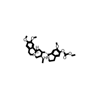 CCOC(=O)Oc1cc2c(cc1OC)[C@@H](CC1C[C@H]3c4cc(OC)c(OC)cc4CCN3C[C@@H]1CC)NCC2